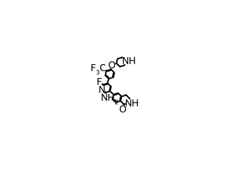 Nc1nc(F)c(-c2ccc(OC3CCNCC3)c(C(F)(F)F)c2)cc1-c1ccc2c(c1)CCNC2=O